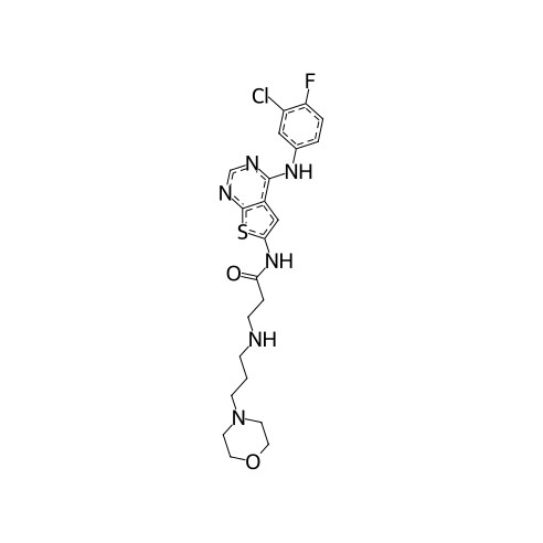 O=C(CCNCCCN1CCOCC1)Nc1cc2c(Nc3ccc(F)c(Cl)c3)ncnc2s1